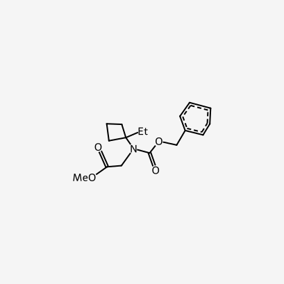 CCC1(N(CC(=O)OC)C(=O)OCc2ccccc2)CCC1